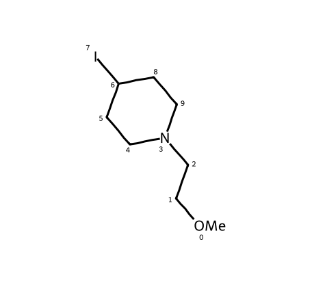 COCCN1CCC(I)CC1